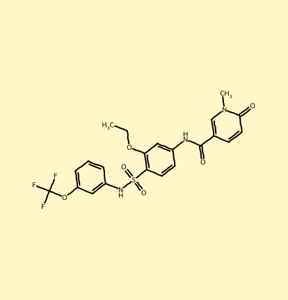 CCOc1cc(NC(=O)c2ccc(=O)n(C)c2)ccc1S(=O)(=O)Nc1cccc(OC(F)(F)F)c1